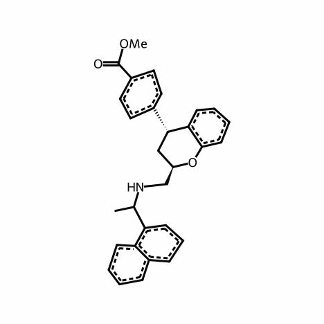 COC(=O)c1ccc([C@H]2C[C@H](CNC(C)c3cccc4ccccc34)Oc3ccccc32)cc1